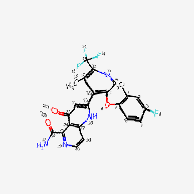 Cc1cc(F)ccc1Oc1cnc(C(F)(F)F)c(C)c1-c1cc(=O)c2c(C(N)=O)nccc2[nH]1